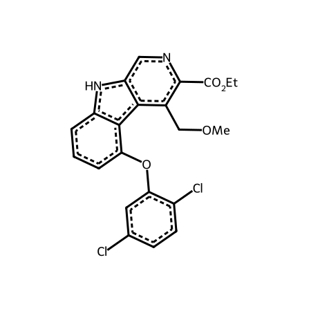 CCOC(=O)c1ncc2[nH]c3cccc(Oc4cc(Cl)ccc4Cl)c3c2c1COC